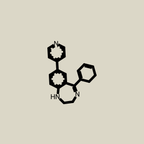 C1=CCCC(C2=NCCNc3ccc(-c4ccncc4)cc32)=C1